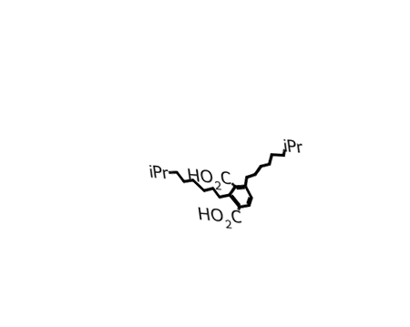 CC(C)CCCCCCc1ccc(C(=O)O)c(CCCCCCC(C)C)c1C(=O)O